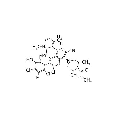 C=CC(=O)N1[C@H](C)CN(c2c(C#N)c(=O)n(C3=C(C)C=CN(C)[C@@H]3C(C)C)c3nc(-c4c(F)c(O)c(Cl)c(F)c4Cl)c(Cl)cc23)C[C@@H]1C